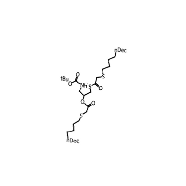 CCCCCCCCCCCCCCSCC(=O)OC(CNC(=O)OC(C)(C)C)CSC(=O)CSCCCCCCCCCCCCCC